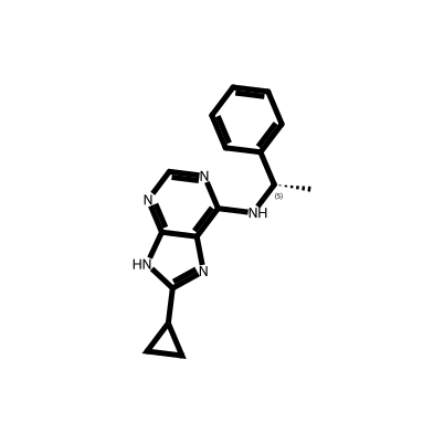 C[C@H](Nc1ncnc2[nH]c(C3CC3)nc12)c1ccccc1